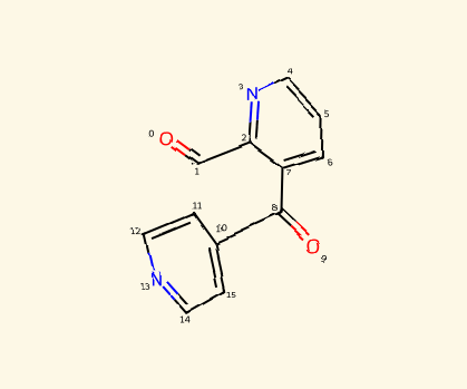 O=[C]c1ncccc1C(=O)c1ccncc1